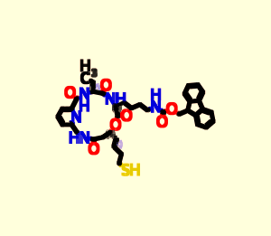 C/C=C1\NC(=O)c2cccc(n2)CNC(=O)C[C@@H](/C=C/CCS)OC(=O)[C@H](CCCCNC(=O)OCC2c3ccccc3-c3ccccc32)NC1=O